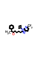 CC(C(=O)CCCCc1nc2ccc(C(F)(F)F)nc2n1C1CCC1)c1ccccc1